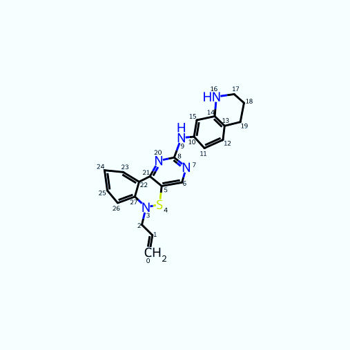 C=CCN1Sc2cnc(Nc3ccc4c(c3)NCCC4)nc2-c2ccccc21